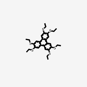 CCSc1cc2c3cc(SCC)c(SCC)cc3c3cc(SCC)c(SCC)cc3c2cc1SCC